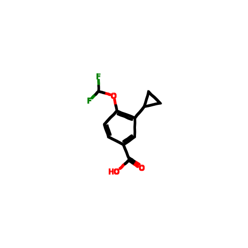 O=C(O)c1ccc(OC(F)F)c(C2CC2)c1